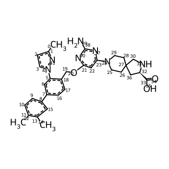 Cc1ccn(-c2cc(-c3ccc(C)c(C)c3)ccc2COc2cc(N3CCC4(CC3)CN[C@@H](C(=O)O)C4)nc(N)n2)n1